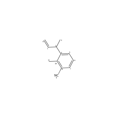 C=C[C](C)c1cccc(C#N)c1C